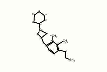 BCCc1ccc(CC2CN(C3CCCCC3)C2)c(C)c1C